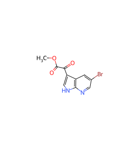 COC(=O)C(=O)c1c[nH]c2ncc(Br)cc12